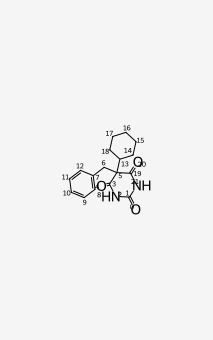 O=C1NC(=O)C(Cc2ccccc2)(C2CCCCC2)C(=O)N1